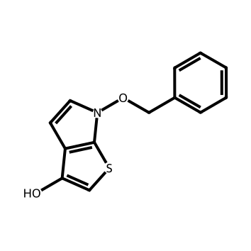 Oc1csc2c1ccn2OCc1ccccc1